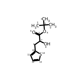 CC(C)(C)OC(=O)C(O)Cc1cccs1